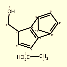 CC(=O)O.OCC1C=CC2=C1C1=CC=C2C1